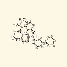 C[C@H](c1cc(Cl)ccc1C(F)(F)F)N1CCNc2nnc(Nc3cccc(N4CCOCC4)c3)cc21